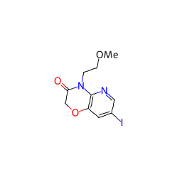 COCCN1C(=O)COc2cc(I)cnc21